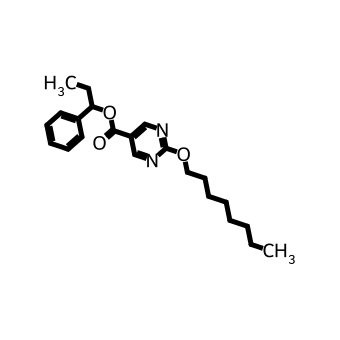 CCCCCCCCOc1ncc(C(=O)OC(CC)c2ccccc2)cn1